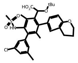 Cc1cc(Cl)cc(-c2c(C)c(-c3ccc4c(c3)CCCO4)c(C(OC(C)(C)C)C(=O)O)c(C)c2NS(C)(=O)=O)c1